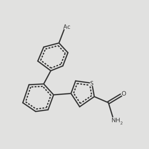 CC(=O)c1ccc(-c2ccccc2-c2csc(C(N)=O)c2)cc1